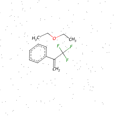 C=C(c1ccccc1)C(F)(F)F.CCOCC